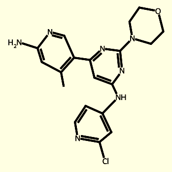 Cc1cc(N)ncc1-c1cc(Nc2ccnc(Cl)c2)nc(N2CCOCC2)n1